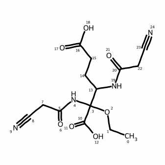 CCOC(NC(=O)CC#N)(C(=O)O)C(CCC(=O)O)NC(=O)CC#N